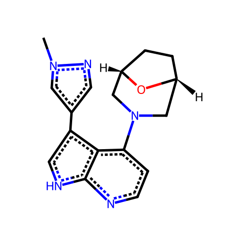 Cn1cc(-c2c[nH]c3nccc(N4C[C@H]5CC[C@@H](C4)O5)c23)cn1